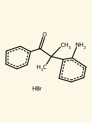 Br.CC(C)(C(=O)c1ccccc1)c1ccccc1N